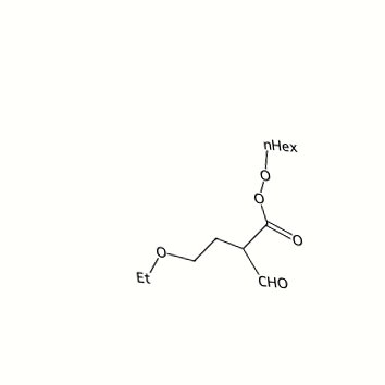 CCCCCCOOC(=O)C(C=O)CCOCC